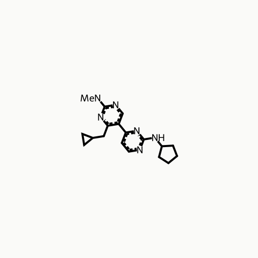 CNc1ncc(-c2ccnc(NC3CCCC3)n2)c(CC2CC2)n1